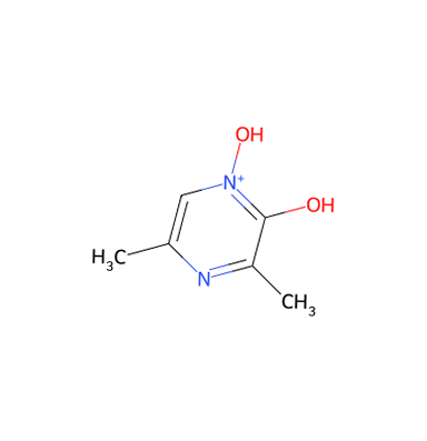 Cc1c[n+](O)c(O)c(C)n1